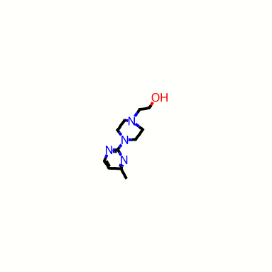 Cc1ccnc(N2CCN(CCO)CC2)n1